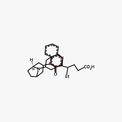 CCC(CCC(=O)O)c1nc2ccccc2n(C2CC3CC[C@@H](C2)N3C2CC3CCCC(C3)C2)c1=O